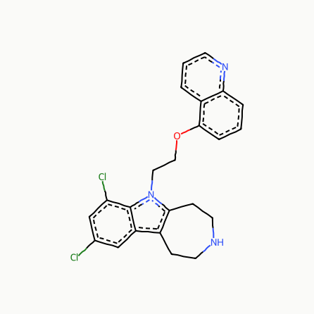 Clc1cc(Cl)c2c(c1)c1c(n2CCOc2cccc3ncccc23)CCNCC1